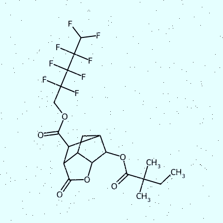 CCC(C)(C)C(=O)OC1C2CC3C1OC(=O)C3C2C(=O)OCC(F)(F)C(F)(F)C(F)(F)C(F)F